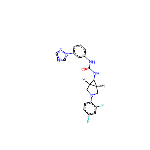 O=C(Nc1cccc(-n2cncn2)c1)N[C@H]1[C@@H]2CN(c3ccc(F)cc3F)C[C@@H]21